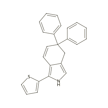 C1=CC(c2ccccc2)(c2ccccc2)Cc2c[nH]c(-c3cccs3)c21